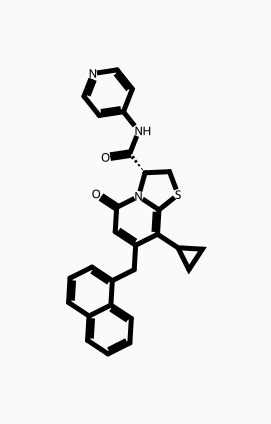 O=C(Nc1ccncc1)[C@@H]1CSc2c(C3CC3)c(Cc3cccc4ccccc34)cc(=O)n21